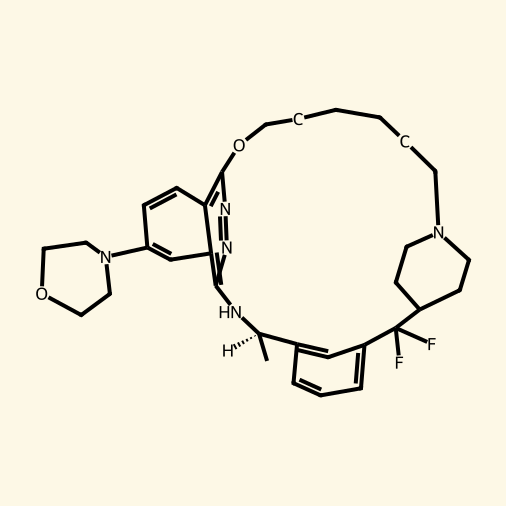 C[C@H]1Nc2nnc(c3ccc(N4CCOCC4)cc23)OCCCCCCN2CCC(CC2)C(F)(F)c2cccc1c2